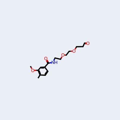 COc1cc(C(=O)NCCOCCOCCC=O)ccc1C